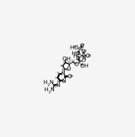 NC(N)=Nc1ccn([C@H]2CC(O)[C@@H](COP(=O)(O)OP(=O)(O)OP(=O)(O)O)O2)c(=O)n1